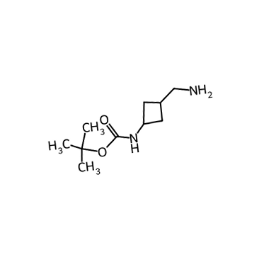 CC(C)(C)OC(=O)NC1CC(CN)C1